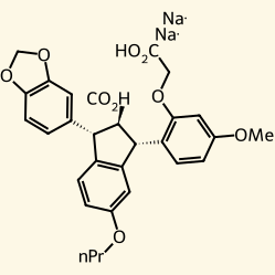 CCCOc1ccc2c(c1)[C@@H](c1ccc(OC)cc1OCC(=O)O)[C@H](C(=O)O)[C@H]2c1ccc2c(c1)OCO2.[Na].[Na]